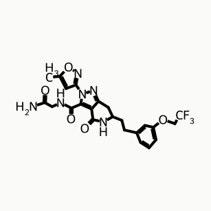 Cc1cc(-n2nc3c(c2C(=O)NCC(N)=O)C(=O)NC(CCc2cccc(OCC(F)(F)F)c2)C3)no1